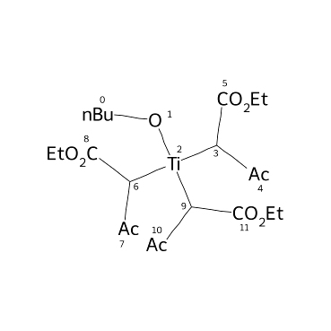 CCCC[O][Ti]([CH](C(C)=O)C(=O)OCC)([CH](C(C)=O)C(=O)OCC)[CH](C(C)=O)C(=O)OCC